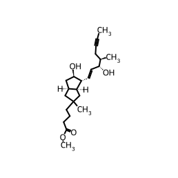 CC#CC[C@@H](C)[C@H](O)/C=C/[C@@H]1[C@H]2CC(C)(CCCC(=O)OC)C[C@H]2C[C@H]1O